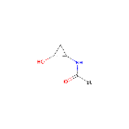 CCC(=O)NC1CC1O